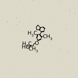 Cc1cc(OCCC(C)(C)O)cc(C)c1-c1cccc2c1CCC2